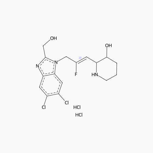 Cl.Cl.OCc1nc2cc(Cl)c(Cl)cc2n1C/C(F)=C/C1NCCCC1O